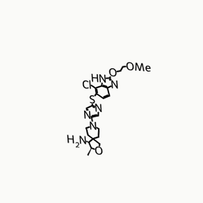 COCCOc1nc2ccc(Sc3cnc(N4CCC5(CC4)CO[C@@H](C)[C@H]5N)cn3)c(Cl)c2[nH]1